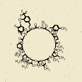 CC[C@H](C)[C@@H]1NC(=O)[C@H](CC(C)C)N(C)C(=O)C[C@@H](C(=O)N(C)C)N(C)C(=O)[C@H]([C@@H](C)CC)N(C)C(=O)C2(CCCC2)NC(=O)[C@H](Cc2ccc(F)c(F)c2)N(C)C(=O)[C@H](CCc2ccc(C(F)(F)F)c(Cl)c2)NC(=O)CN(C)C(=O)[C@H](Cc2ccc(C)cc2)N(C)C(=O)[C@@H]2CCN2C(=O)[C@H](C)N(C)C1=O